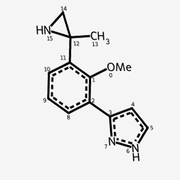 COc1c(-c2cc[nH]n2)cccc1C1(C)CN1